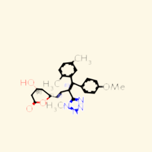 COc1ccc(/C(=C(/C=C/[C@@H]2C[C@@H](O)CC(=O)O2)c2nnnn2C)c2cc(C)ccc2C)cc1